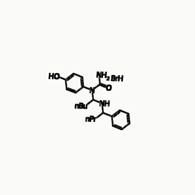 Br.CCCCC(NC(CCC)c1ccccc1)N(C(N)=O)c1ccc(O)cc1